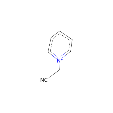 N#CC[n+]1ccccc1